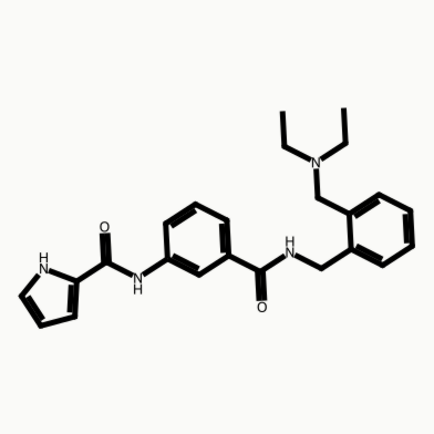 CCN(CC)Cc1ccccc1CNC(=O)c1cccc(NC(=O)c2ccc[nH]2)c1